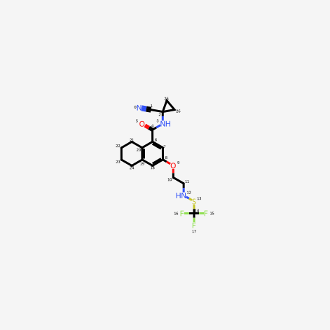 N#CC1(NC(=O)c2cc(OCCNSC(F)(F)F)cc3c2CCCC3)CC1